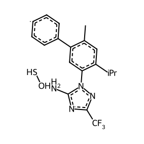 Cc1cc(C(C)C)c(-n2nc(C(F)(F)F)nc2N)cc1-c1cc[c]cc1.OS